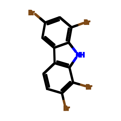 Brc1cc(Br)c2[nH]c3c(Br)c(Br)ccc3c2c1